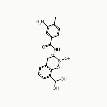 Cc1ccc(C(=O)N[C@H]2Cc3cccc(C(O)O)c3OB2O)cc1N